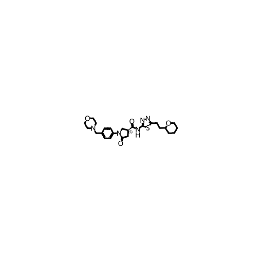 O=C(Nc1nnc(CCC2CCCCO2)s1)[C@H]1CC(=O)N(c2ccc(CN3CCOCC3)cc2)C1